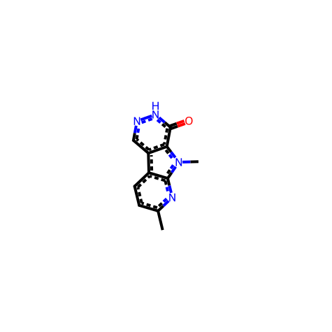 Cc1ccc2c3cn[nH]c(=O)c3n(C)c2n1